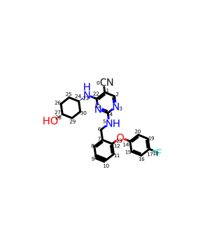 N#Cc1cnc(NCc2cc#ccc2Oc2ccc(F)cc2)nc1N[C@H]1CC[C@@H](O)CC1